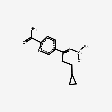 CC(C)(C)[S@@+]([O-])N=C(CCC1CC1)c1ccc(C(N)=O)nc1